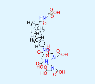 C[C@H](CCC(=O)NCCS(=O)(=O)O)[C@H]1CC[C@H]2[C@@H]3CC[C@@H]4C[C@@H](NC(=O)CC[C@@H](C(=O)O)N(CCN(CC(=O)O)CC(=O)O)CCN(CC(=O)O)CC(=O)O)CC[C@]4(C)[C@H]3CC[C@]12C